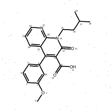 COc1cccc(-c2c(C(=O)O)c(=O)n(CCC(C)C)c3ncccc23)c1